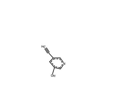 C#Cc1cncc(O)c1